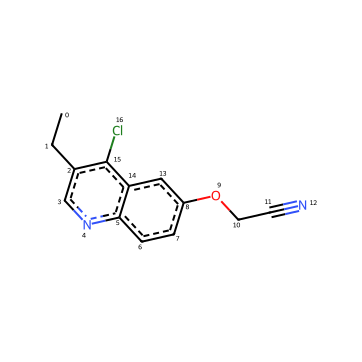 CCc1cnc2ccc(OCC#N)cc2c1Cl